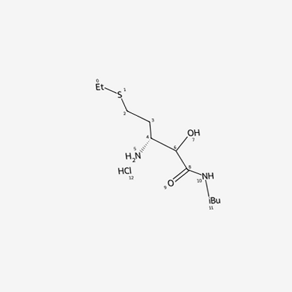 CCSCC[C@@H](N)C(O)C(=O)NC(C)CC.Cl